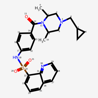 CC1CN(CC2CC2)CC(C)N1C(=O)c1ccc(NS(=O)(=O)c2cccc3cccnc23)cc1